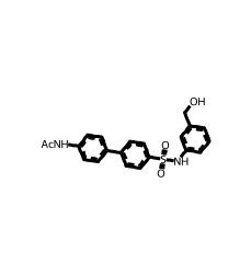 CC(=O)Nc1ccc(-c2ccc(S(=O)(=O)Nc3cccc(CO)c3)cc2)cc1